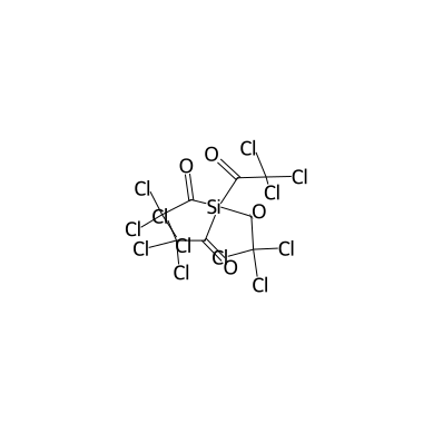 O=C(C(Cl)(Cl)Cl)[Si](C(=O)C(Cl)(Cl)Cl)(C(=O)C(Cl)(Cl)Cl)C(=O)C(Cl)(Cl)Cl